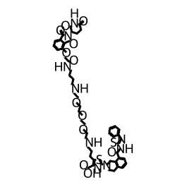 O=C(COc1cccc2c1C(=O)N(C1CCC(=O)NC1=O)C2=O)NCCCCNCCOCCOCCOCCNCCCc1sc(N2CCc3cccc(C(=O)Nc4nc5ccccc5s4)c3C2)nc1C(=O)O